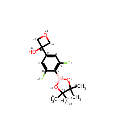 CC1(C)OB(c2c(F)cc(C3(O)COC3)cc2F)OC1(C)C